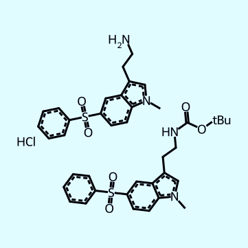 Cl.Cn1cc(CCN)c2cc(S(=O)(=O)c3ccccc3)ccc21.Cn1cc(CCNC(=O)OC(C)(C)C)c2cc(S(=O)(=O)c3ccccc3)ccc21